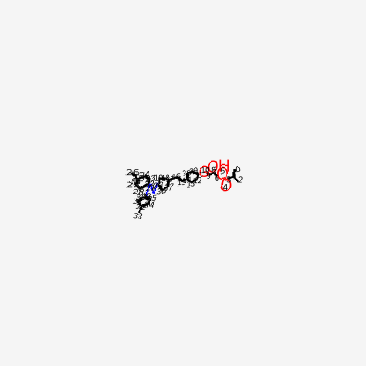 C=C(C)C(=O)OCC(O)COc1ccc(C=Cc2ccc(N(c3ccc(C)cc3)c3ccc(C)cc3)cc2)cc1